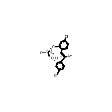 CC(=O)/C(=C\c1ccc(Cl)cc1Cl)c1ccc(Cl)cc1.CC(C)[C@H](N)C(=O)O